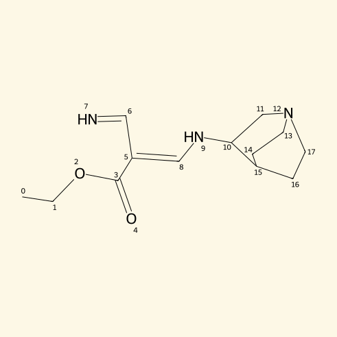 CCOC(=O)/C(C=N)=C/NC1CN2CCC1CC2